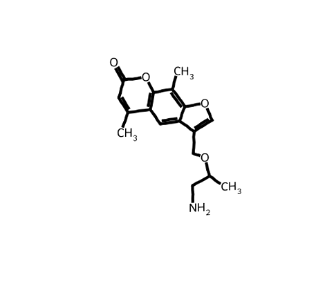 Cc1cc(=O)oc2c(C)c3occ(COC(C)CN)c3cc12